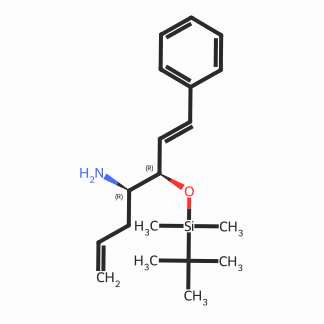 C=CC[C@@H](N)[C@@H](C=Cc1ccccc1)O[Si](C)(C)C(C)(C)C